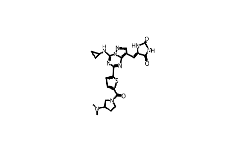 CN(C)C1CCN(C(=O)c2ccc(-c3nc(NC4CC4)n4ncc(/C=C5\NC(=O)NC5=O)c4n3)s2)C1